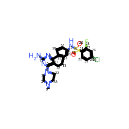 CN1CCN(c2nc(N)nc3c2CCc2cc(NS(=O)(=O)c4ccc(Cl)cc4F)ccc2-3)CC1